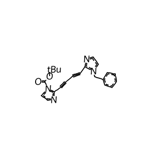 CC(C)(C)OC(=O)n1ccnc1C#CC#Cc1nccn1Cc1ccccc1